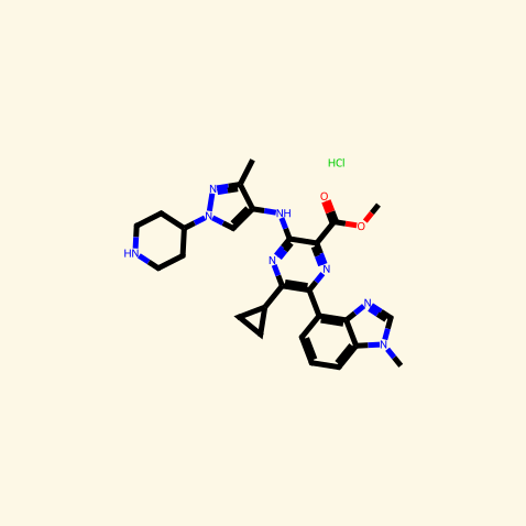 COC(=O)c1nc(-c2cccc3c2ncn3C)c(C2CC2)nc1Nc1cn(C2CCNCC2)nc1C.Cl